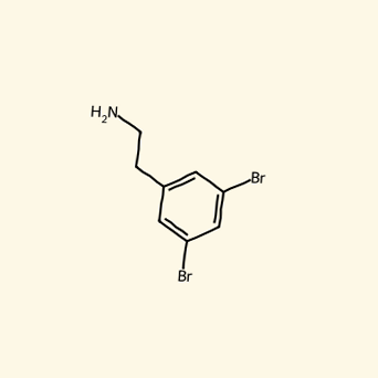 NCCc1cc(Br)cc(Br)c1